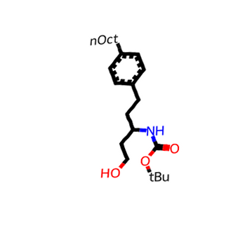 CCCCCCCCc1ccc(CCC(CCO)NC(=O)OC(C)(C)C)cc1